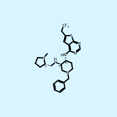 CN1CCC[C@H]1CN[C@@H]1CN(Cc2ccccc2)CC[C@H]1Nc1ncnc2sc(CC(F)(F)F)cc12